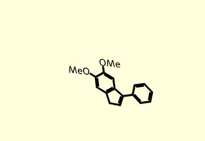 COc1cc2c(cc1OC)C(c1ccccc1)=CC2